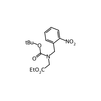 CCOC(=O)CN(Cc1ccccc1[N+](=O)[O-])C(=O)OC(C)(C)C